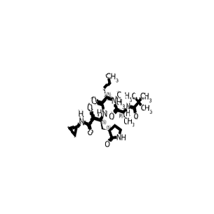 CCC[C@@H](C(=O)N[C@@H](C[C@@H]1CCNC1=O)C(=O)C(=O)NC1CC1)N(C)C(=O)[C@@H](C)NC(=O)C(C)(C)C